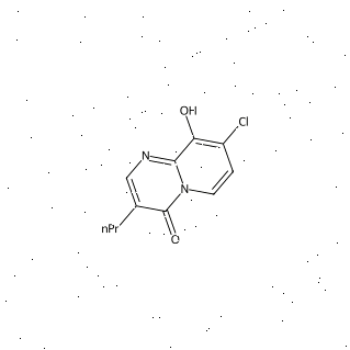 CCCc1cnc2c(O)c(Cl)ccn2c1=O